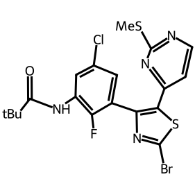 CSc1nccc(-c2sc(Br)nc2-c2cc(Cl)cc(NC(=O)C(C)(C)C)c2F)n1